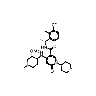 CO[C@H]1CN(C)CC[C@@H]1Nc1cc(=O)n(C2CCOCC2)cc1C(=O)N[C@H](C)c1cccc(C(F)(F)F)c1C